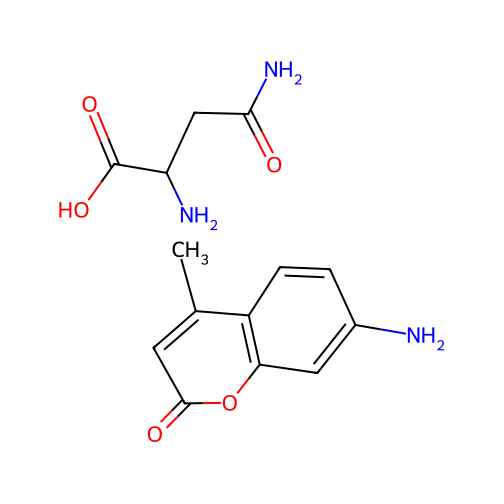 Cc1cc(=O)oc2cc(N)ccc12.NC(=O)CC(N)C(=O)O